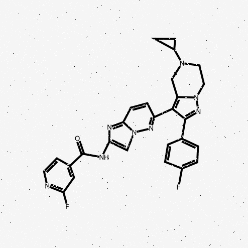 O=C(Nc1cn2nc(-c3c(-c4ccc(F)cc4)nn4c3CN(C3CC3)CC4)ccc2n1)c1ccnc(F)c1